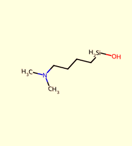 CN(C)CCCC[SiH2]O